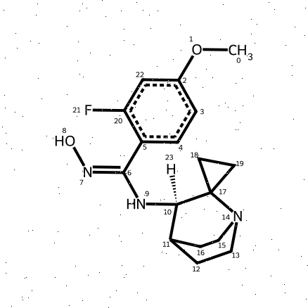 COc1ccc(/C(=N\O)N[C@@H]2C3CCN(CC3)C23CC3)c(F)c1